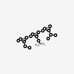 CC(C)c1ccc(-c2cc3c4cc(-c5ccc6c(ccc7c6c6cc(-c8cc(-c9ccccc9)cc(-c9ccccc9)c8)cc8c9ccccc9n7c86)c5)ccc4n4c5ccc6cc(-c7ccc8c(c7)c7cc(-c9cccc(-c%10ccccc%10)c9)cc9c%10c%11ccccc%11ccc%10n8c79)ccc6c5c(c2)c34)cc1